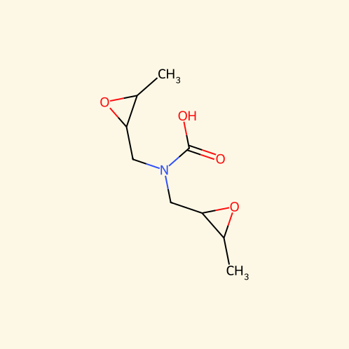 CC1OC1CN(CC1OC1C)C(=O)O